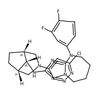 Fc1ccc(N2CCCCn3nc(N[C@H]4[C@@H]5CC[C@H]4CN(c4cnnc(Cl)c4)C5)nc32)cc1F